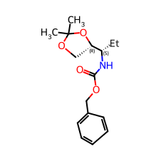 CC[C@H](NC(=O)OCc1ccccc1)[C@@H]1COC(C)(C)O1